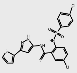 O=C(Nc1cc(-c2cccs2)n[nH]1)c1cc(Cl)ccc1NS(=O)(=O)c1ccc(Cl)cc1